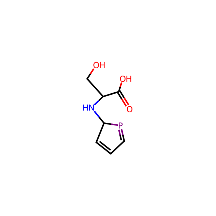 O=C(O)C(CO)NC1C=CC=P1